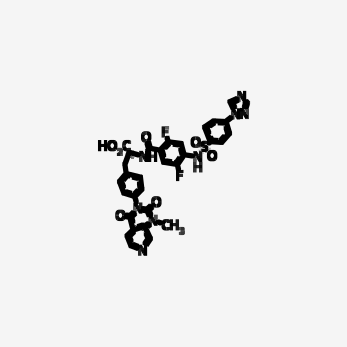 Cn1c(=O)n(-c2ccc(C[C@H](NC(=O)c3cc(F)c(NS(=O)(=O)c4ccc(-n5cncn5)cc4)cc3F)C(=O)O)cc2)c(=O)c2ccncc21